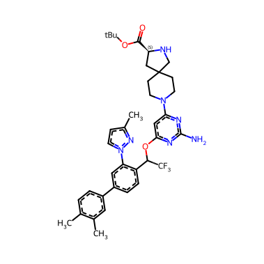 Cc1ccn(-c2cc(-c3ccc(C)c(C)c3)ccc2C(Oc2cc(N3CCC4(CC3)CN[C@H](C(=O)OC(C)(C)C)C4)nc(N)n2)C(F)(F)F)n1